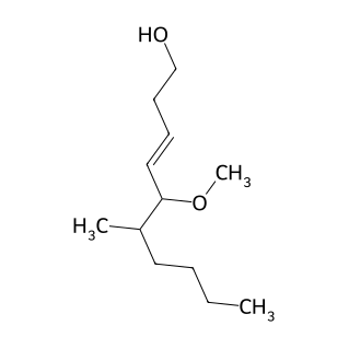 CCCCC(C)C(C=CCCO)OC